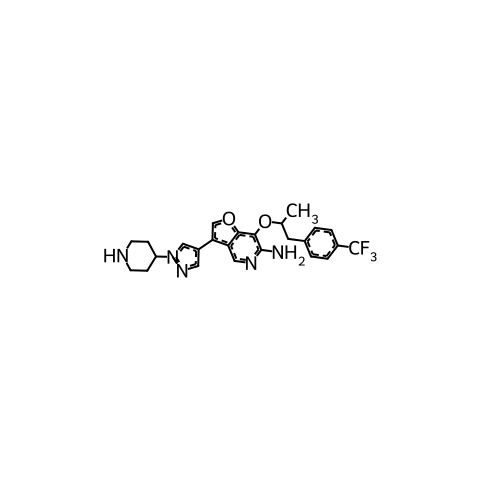 CC(Cc1ccc(C(F)(F)F)cc1)Oc1c(N)ncc2c(-c3cnn(C4CCNCC4)c3)coc12